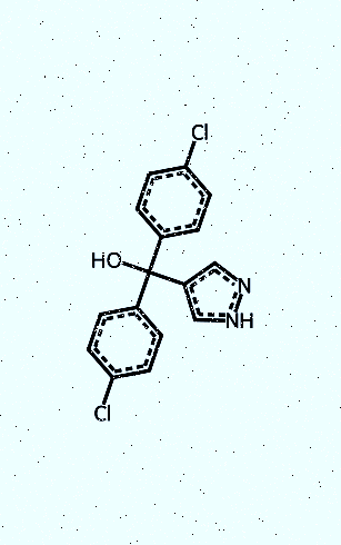 OC(c1ccc(Cl)cc1)(c1ccc(Cl)cc1)c1cn[nH]c1